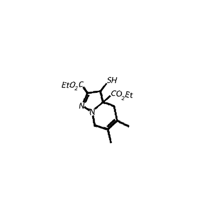 CCOC(=O)C1=NN2CC(C)=C(C)CC2(C(=O)OCC)C1S